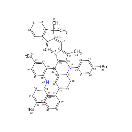 C=C1C2=C(CCC=C2)C(C)(C)/C1=C/c1sc2c(c1C)N(c1ccc(C(C)(C)C)cc1)C1CC=C(c3ccccc3)C3=C1B2c1cc(C(C)(C)C)ccc1N3c1ccc(C(C)(C)C)cc1